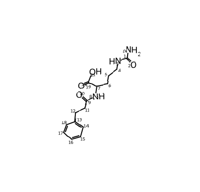 NC(=O)NCCCC(NC(=O)CCc1ccccc1)C(=O)O